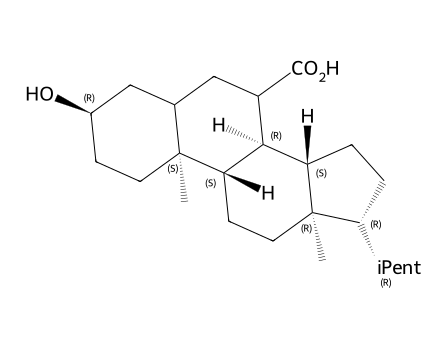 CCC[C@@H](C)[C@H]1CC[C@H]2[C@@H]3C(C(=O)O)CC4C[C@H](O)CC[C@]4(C)[C@H]3CC[C@]12C